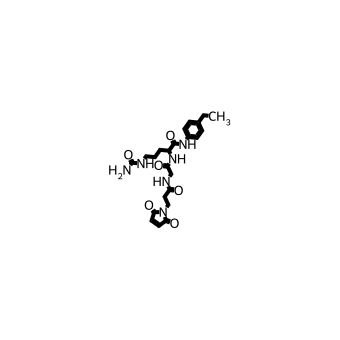 CCc1ccc(NC(=O)C(CCCNC(N)=O)NC(=O)CNC(=O)CCN2C(=O)C=CC2=O)cc1